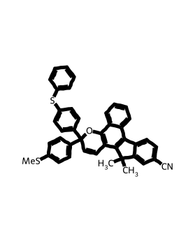 CSc1ccc(C2(c3ccc(Sc4ccccc4)cc3)C=Cc3c4c(c5ccccc5c3O2)-c2ccc(C#N)cc2C4(C)C)cc1